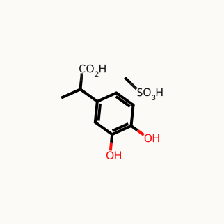 CC(C(=O)O)c1ccc(O)c(O)c1.CS(=O)(=O)O